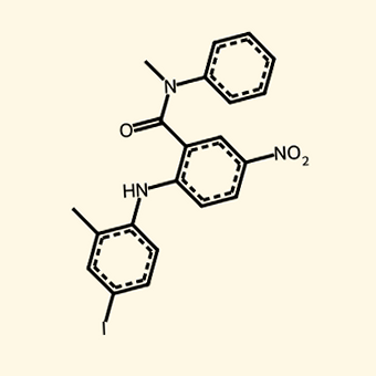 Cc1cc(I)ccc1Nc1ccc([N+](=O)[O-])cc1C(=O)N(C)c1ccccc1